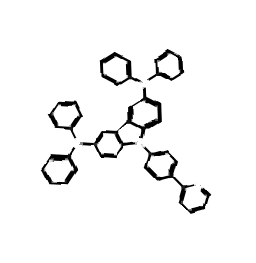 c1ccc(N(c2ccccc2)c2ccc3c(c2)c2cc(N(c4ccccc4)c4ccccc4)ccc2n3-c2ccc(-c3ccccn3)cc2)cc1